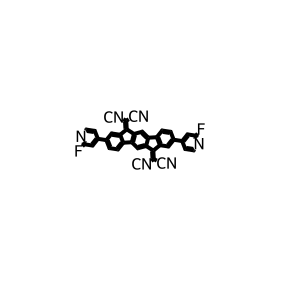 [C-]#[N+]/C(C#N)=C1/c2cc(-c3ccnc(F)c3)ccc2-c2cc3c(cc21)-c1ccc(-c2ccnc(F)c2)cc1/C3=C(/C#N)[N+]#[C-]